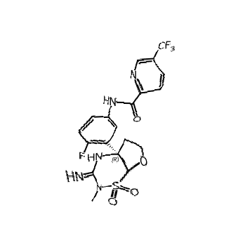 CN1C(=N)N[C@@]2(c3cc(NC(=O)c4ccc(C(F)(F)F)cn4)ccc3F)CCOC2S1(=O)=O